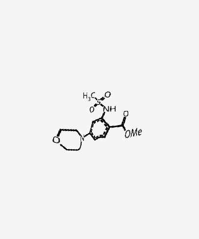 COC(=O)c1ccc(N2CCOCC2)cc1NS(C)(=O)=O